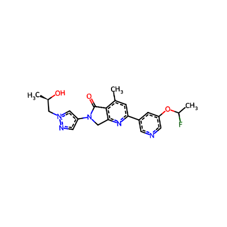 Cc1cc(-c2cncc(OC(C)F)c2)nc2c1C(=O)N(c1cnn(C[C@@H](C)O)c1)C2